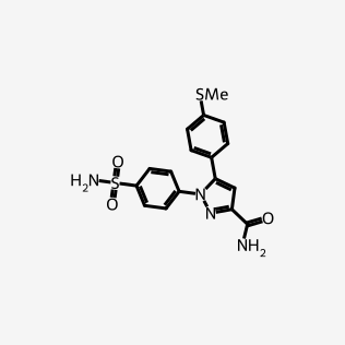 CSc1ccc(-c2cc(C(N)=O)nn2-c2ccc(S(N)(=O)=O)cc2)cc1